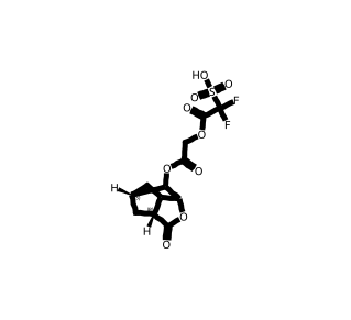 O=C(COC(=O)C(F)(F)S(=O)(=O)O)OC1C2OC(=O)[C@@H]3C[C@@H]1CC23